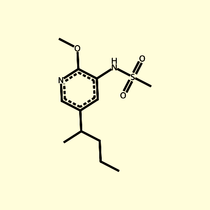 CCCC(C)c1cnc(OC)c(NS(C)(=O)=O)c1